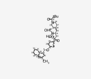 Cc1cc(COc2ccc(S(=O)(=O)CC(C=C3CCN(C(=O)C(C)(C)C)CC3)N(O)C=O)cc2)c2ccccc2n1